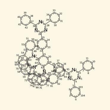 c1ccc(-c2nc(-c3ccccc3)nc(-c3ccc(-c4cc(-c5ccc(-c6nc(-c7ccccc7)nc(-c7ccccc7)n6)cc5)c(-n5c6ccccc6c6ccc7ccccc7c65)c(-n5c6ccccc6c6ccc7ccccc7c65)c4-n4c5ccccc5c5ccc6ccccc6c54)cc3)n2)cc1